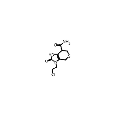 NC(=O)C1CSCc2c1[nH]c(=O)n2CCCl